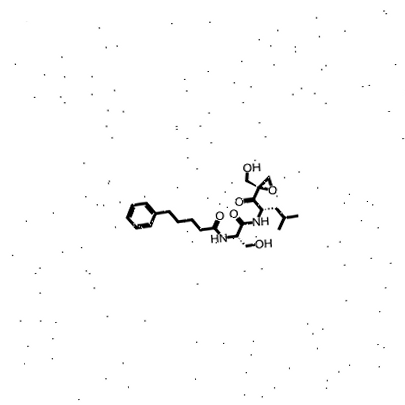 CC(C)C[C@H](NC(=O)[C@H](CO)NC(=O)CCCCc1ccccc1)C(=O)[C@]1(CO)CO1